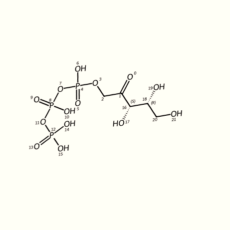 O=C(COP(=O)(O)OP(=O)(O)OP(=O)(O)O)[C@@H](O)[C@H](O)CO